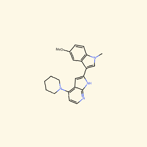 COc1ccc2c(c1)c(-c1cc3c(N4CCCCC4)ccnc3[nH]1)cn2C